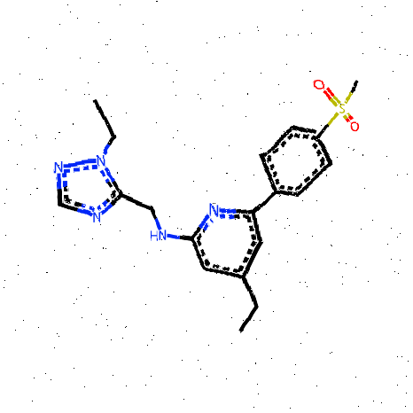 CCc1cc(NCc2ncnn2CC)nc(-c2ccc(S(C)(=O)=O)cc2)c1